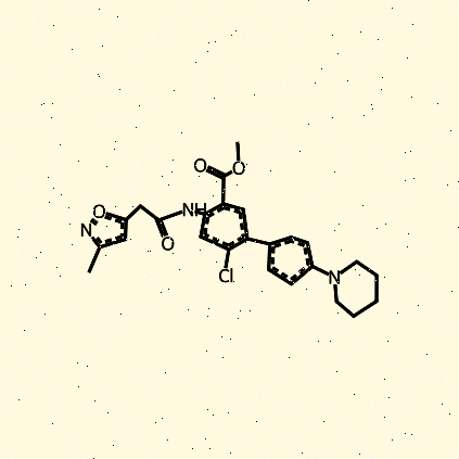 COC(=O)c1cc(-c2ccc(N3CCCCC3)cc2)c(Cl)cc1NC(=O)Cc1cc(C)no1